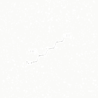 CCCCOCC(O)[CH2][Na]